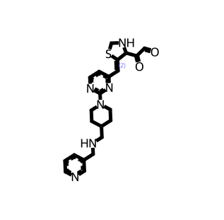 O=CC(=O)C1NCS/C1=C\c1ccnc(N2CCC(CNCc3cccnc3)CC2)n1